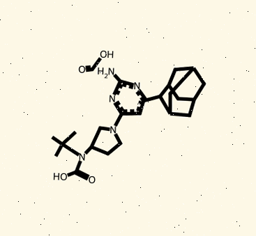 CC(C)(C)N(C(=O)O)C1CCN(c2cc(C3C4CC5CC(C4)CC3C5)nc(N)n2)C1.O=CO